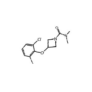 Cc1cccc(Cl)c1OC1CN(C(=O)N(C)C)C1